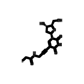 O=C(CI)NCC#Cc1cn([C@H]2C[C@H](O)[C@@H](CO)O2)c(=O)[nH]c1=O